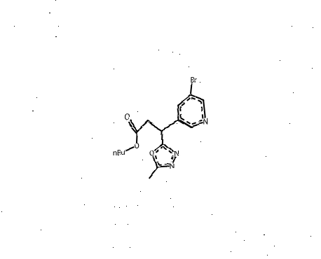 CCCCOC(=O)CC(c1cncc(Br)c1)c1nnc(C)o1